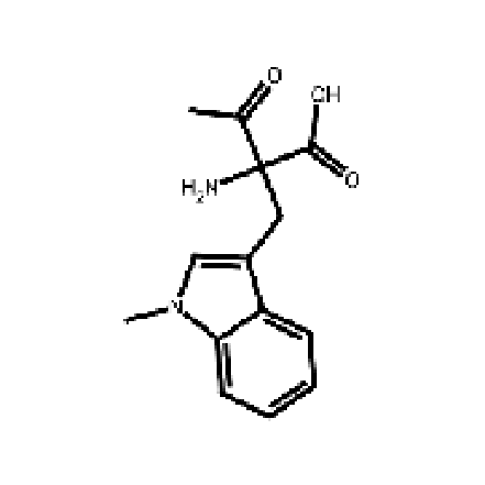 CC(=O)C(N)(Cc1cn(C)c2ccccc12)C(=O)O